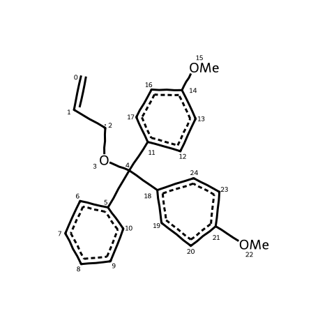 C=C[CH]OC(c1ccccc1)(c1ccc(OC)cc1)c1ccc(OC)cc1